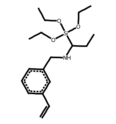 C=Cc1cccc(CNC(CC)[Si](OCC)(OCC)OCC)c1